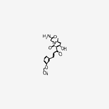 Cc1cc(O)c(C(=O)C=Cc2cccc(OCC#N)c2)c(=O)n1CC(N)=O